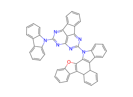 C1=CC2c3c(oc4ccccc34)-c3c(c4ccccc4n3-c3nc4c5c(nc(-n6c7ccccc7c7ccccc76)nc5n3)-c3ccccc3-4)C2C=C1